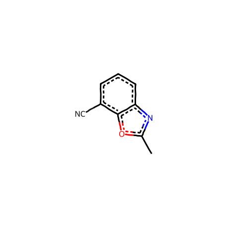 Cc1nc2cccc(C#N)c2o1